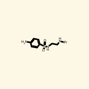 CC(C)NCCNS(=O)(=O)c1ccc(N)cc1